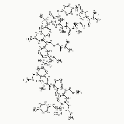 CC[C@H](C)[C@H](NC(=O)[C@@H](NC(=O)[C@@H]1C[C@@H](O)CN1C(=O)[C@@H](N)C(C)C)[C@@H](C)CC)C(=O)N[C@@H](Cc1ccc(O)cc1)C(=O)N[C@H](C(=O)N[C@@H](CC(N)=O)C(=O)N[C@@H](CCCNC(=N)N)C(=O)N[C@@H](CCN)C(=O)N[C@H](C(=O)N[C@H](CCN)C(=O)N[C@H](C(=O)N[C@@H](CS)C(=O)N[C@@H](CCN)C(=O)N[C@@H](CCCN)C(=O)N[C@@H](Cc1ccc(O)cc1)C(=O)O)[C@@H](C)CC)[C@@H](C)O)C(C)(C)S